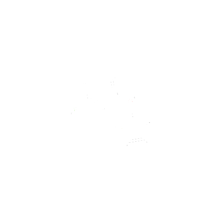 Fc1cccc(Oc2c[c]cs2)c1